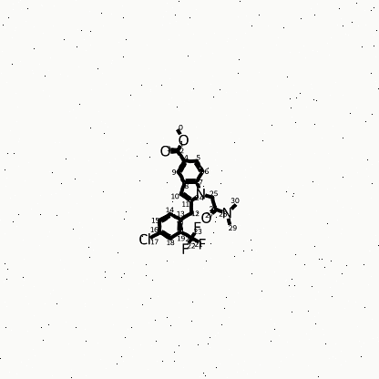 COC(=O)c1ccc2c(c1)cc(Cc1ccc(Cl)cc1C(F)(F)F)n2CC(=O)N(C)C